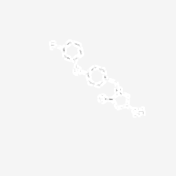 O=C1CC(S)CN1Cc1ccc(Oc2cccc(F)c2)cc1